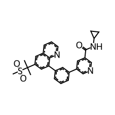 CC(C)(c1cc(-c2cccc(-c3cncc(C(=O)NC4CC4)c3)c2)c2ncccc2c1)S(C)(=O)=O